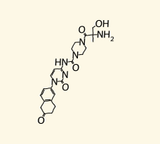 CC(N)(CO)C(=O)N1CCN(C(=O)Nc2ccn(-c3ccc4c(c3)CCC(=O)C4)c(=O)n2)CC1